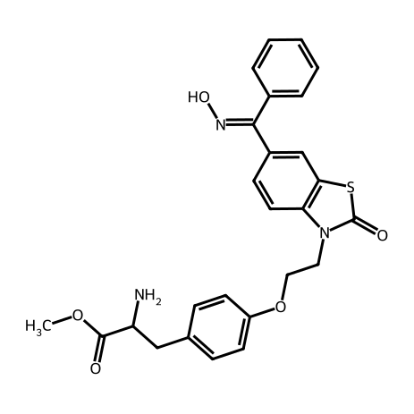 COC(=O)C(N)Cc1ccc(OCCn2c(=O)sc3cc(C(=NO)c4ccccc4)ccc32)cc1